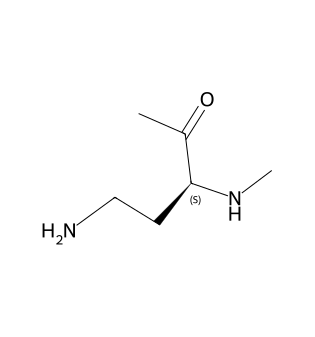 CN[C@@H](CCN)C(C)=O